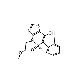 COCCN1c2ncsc2C(O)=C(c2ccccc2C)S1(=O)=O